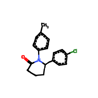 Cc1ccc(N2C(=O)CCCC2c2ccc(Cl)cc2)cc1